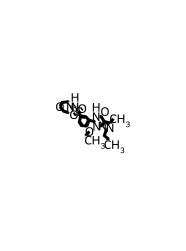 CCCc1nc(C)c2c(=O)[nH]c(-c3cc(S(=O)(=O)NN4CCOCC4)ccc3OCC)nn12